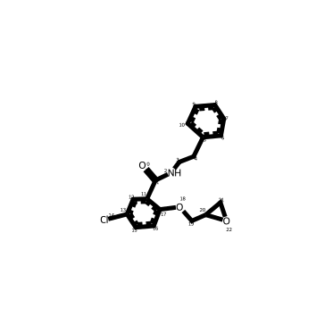 O=C(NCCc1ccccc1)c1cc(Cl)ccc1OCC1CO1